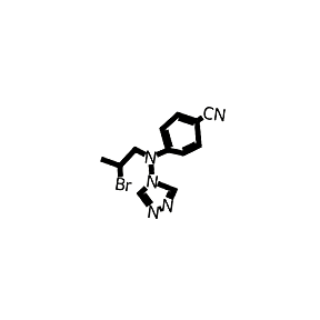 CC(Br)CN(c1ccc(C#N)cc1)n1cnnc1